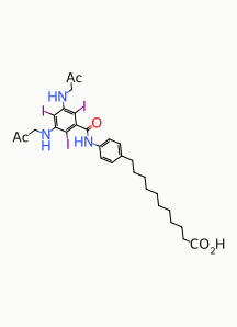 CC(=O)CNc1c(I)c(NCC(C)=O)c(I)c(C(=O)Nc2ccc(CCCCCCCCCCC(=O)O)cc2)c1I